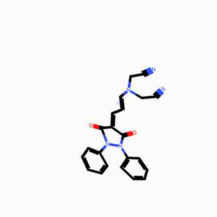 N#CCN(/C=C/C=C1C(=O)N(c2ccccc2)N(c2ccccc2)C1=O)CC#N